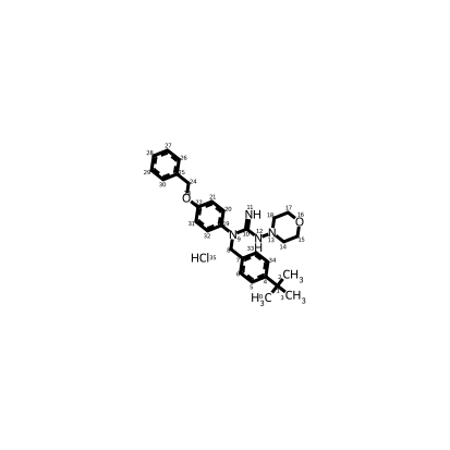 CC(C)(C)c1ccc(CN(C(=N)NN2CCOCC2)c2ccc(OCc3ccccc3)cc2)cc1.Cl